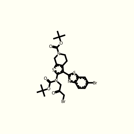 CC(C)(C)OC(=O)N1CCc2c(sc(N(CC(=O)CBr)C(=O)OC(C)(C)C)c2-c2nc3ccc(Br)cc3s2)C1